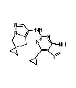 c1nc2c(C3CC3)nc(Nc3cnn4c3CC3(CC3)C4)nc2[nH]1